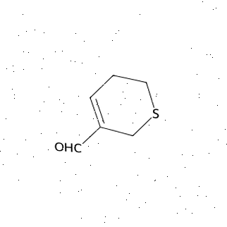 O=CC1=CCCSC1